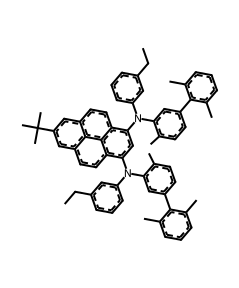 CCc1cccc(N(c2cc(-c3c(C)cccc3C)ccc2C)c2cc(N(c3cccc(CC)c3)c3cc(-c4c(C)cccc4C)ccc3C)c3ccc4cc(C(C)(C)C)cc5ccc2c3c54)c1